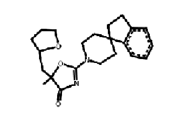 CC1(CC2CCCO2)OC(N2CCC3(CCc4ccccc43)CC2)=NC1=O